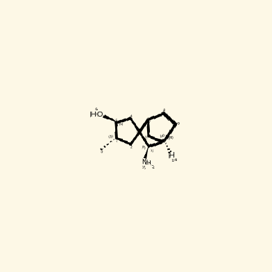 C[C@H]1CC2(C[C@@H]1O)C1CC[C@H](C1)[C@H]2N